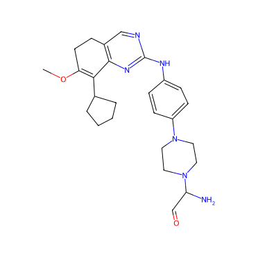 COC1=C(C2CCCC2)c2nc(Nc3ccc(N4CCN(C(N)C=O)CC4)cc3)ncc2CC1